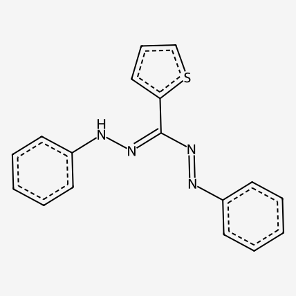 c1ccc(N=NC(=NNc2ccccc2)c2cccs2)cc1